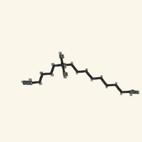 CCCCCCCCCCCCCCCCCC[N+](CC)(CC)CCCCC(=O)[O-]